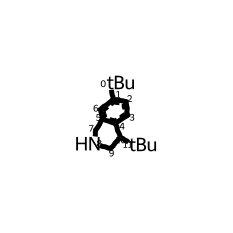 CC(C)(C)c1ccc2c(c1)CNCC2C(C)(C)C